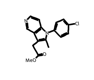 COC(=O)Cc1c(C)n(-c2ccc(Cl)cc2)c2ccncc12